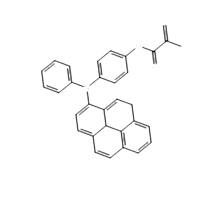 C=C(C)C(=O)Oc1ccc(N(C2=CC=C3C=Cc4cccc5c4C3C2=CC5)c2ccccc2)cc1